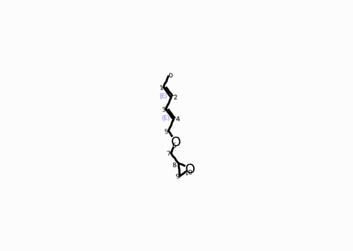 C/C=C/C=C/COCC1CO1